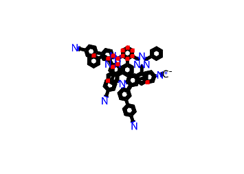 [C-]#[N+]c1ccc(-c2ccc3c(c2)c2cc(-c4ccc(C#N)cc4)ccc2n3-c2cccc(-c3nc(Cc4ccccc4)nc(-c4ccccc4)n3)c2-c2cccc(-c3c(-c4nc(-c5ccccc5)nc(-c5ccccc5)n4)cccc3-n3c4ccc(-c5ccc(C#N)cc5)cc4c4cc(-c5ccc(C#N)cc5)ccc43)c2)cc1